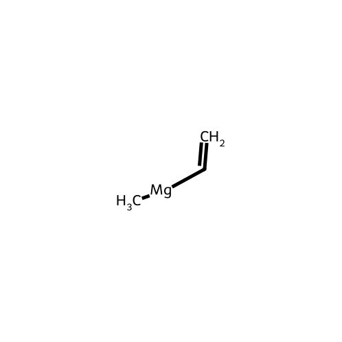 C=[CH][Mg][CH3]